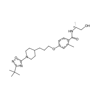 Cc1cc(OCCCC2CCN(c3nc(C(C)(C)C)no3)CC2)ccc1C(=O)N[C@H](C)CO